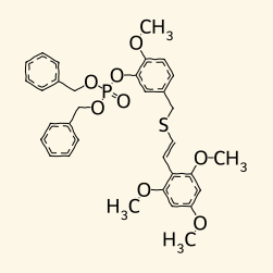 COc1cc(OC)c(/C=C/SCc2ccc(OC)c(OP(=O)(OCc3ccccc3)OCc3ccccc3)c2)c(OC)c1